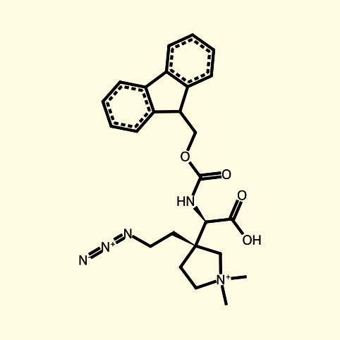 C[N+]1(C)CC[C@](CCN=[N+]=[N-])([C@@H](NC(=O)OCC2c3ccccc3-c3ccccc32)C(=O)O)C1